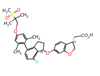 Cc1cc(OCC(C)(C)S(C)(=O)=O)cc(C)c1-c1ccc(F)c2c1CC[C@H]2Oc1ccc2c(c1)OC[C@H]2CC(=O)O